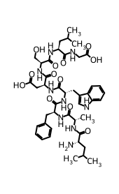 CC(C)C[C@H](NC(=O)[C@H](CO)NC(=O)[C@H](CC(=O)O)NC(=O)[C@H](Cc1c[nH]c2ccccc12)NC(=O)[C@H](Cc1ccccc1)NC(=O)[C@H](C)NC(=O)[C@@H](N)CC(C)C)C(=O)NCC(=O)O